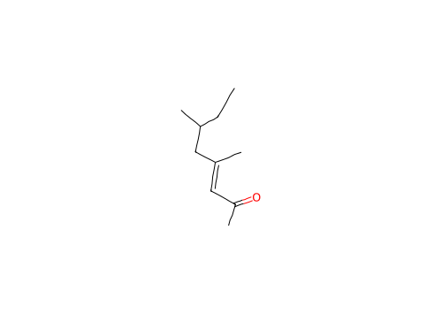 CCC(C)C/C(C)=C/C(C)=O